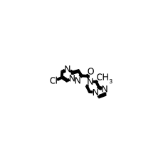 CC1c2nccn2CCN1C(=O)c1cc2ncc(Cl)cn2n1